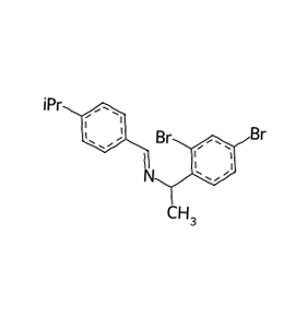 CC(C)c1ccc(C=NC(C)c2ccc(Br)cc2Br)cc1